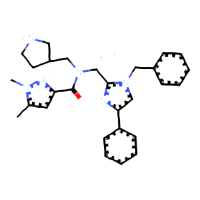 Cc1cc(C(=O)N(C[C@@]2(F)CCNC2)[C@@H](c2nc(-c3ccccc3)cn2Cc2ccccc2)C(C)(C)C)nn1C